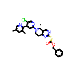 Cc1cnc(-c2cc(N3CCc4nc(SC(=O)OCc5ccccc5)ncc4[C@H]3C)ncc2Cl)c(C)c1